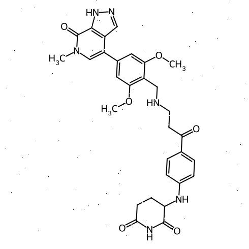 COc1cc(-c2cn(C)c(=O)c3[nH]ncc23)cc(OC)c1CNCCC(=O)c1ccc(NC2CCC(=O)NC2=O)cc1